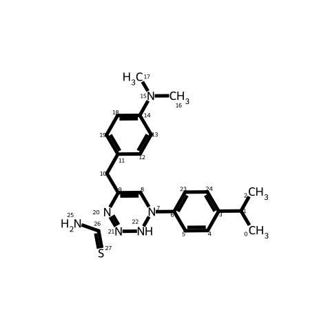 CC(C)c1ccc(N2C=C(Cc3ccc(N(C)C)cc3)N=NN2)cc1.NC=S